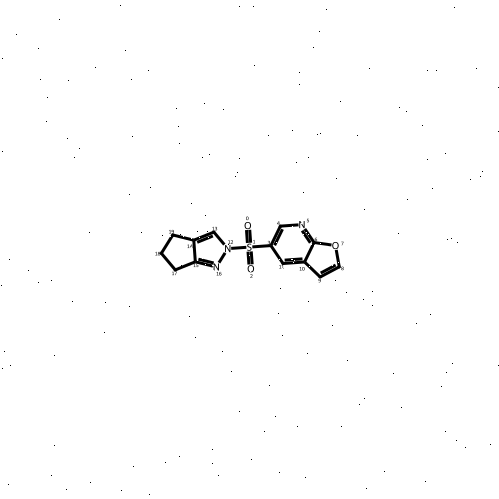 O=S(=O)(c1cnc2occc2c1)n1cc2c(n1)CCC2